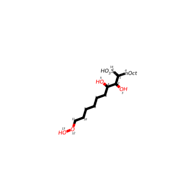 CCCCCCCCC(C(O)C(O)CCCCCCOO)S(=O)(=O)O